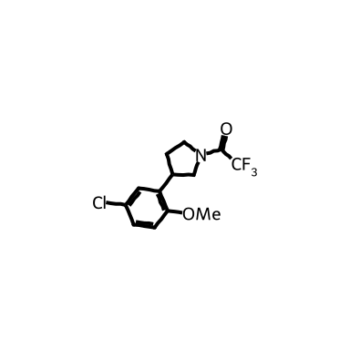 COc1ccc(Cl)cc1C1CCN(C(=O)C(F)(F)F)C1